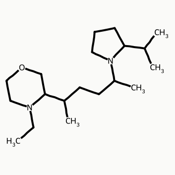 CCN1CCOCC1C(C)CCC(C)N1CCCC1C(C)C